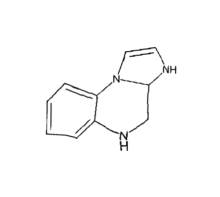 C1=CN2c3ccccc3NCC2N1